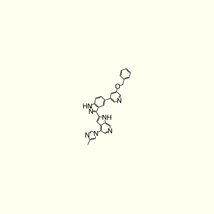 Cc1cn(-c2cncc3[nH]c(-c4n[nH]c5ccc(-c6cncc(OCc7ccccc7)c6)cc45)cc23)cn1